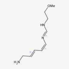 COCCN/C=N/C=C\C=C\CN